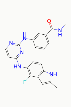 CNC(=O)c1cccc(Nc2nccc(Nc3ccc4[nH]c(C)cc4c3F)n2)c1